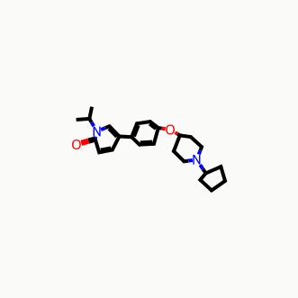 CC(C)n1cc(-c2ccc(OC3CCN(C4CCCC4)CC3)cc2)ccc1=O